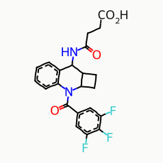 O=C(O)CCC(=O)NC1c2ccccc2N(C(=O)c2cc(F)c(F)c(F)c2)C2CCC12